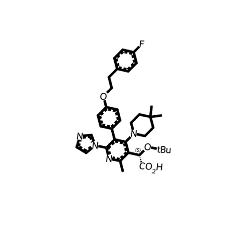 Cc1nc(-n2ccnc2)c(-c2ccc(OCCc3ccc(F)cc3)cc2)c(N2CCC(C)(C)CC2)c1[C@H](OC(C)(C)C)C(=O)O